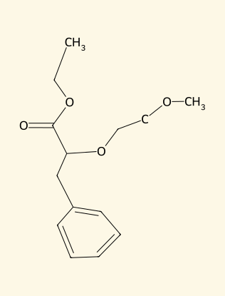 CCOC(=O)C(Cc1ccccc1)OCCOC